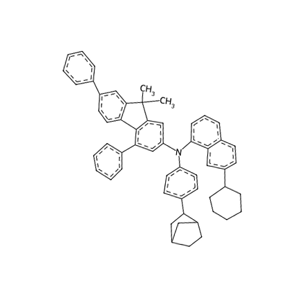 CC1(C)c2cc(-c3ccccc3)ccc2-c2c(-c3ccccc3)cc(N(c3ccc(C4CC5CCC4C5)cc3)c3cccc4ccc(C5CCCCC5)cc34)cc21